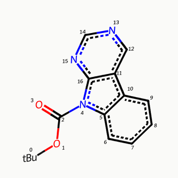 CC(C)(C)OC(=O)n1c2ccccc2c2cncnc21